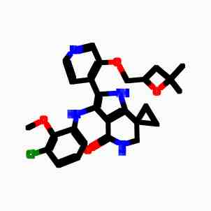 COc1c(Cl)cccc1Nc1c(-c2ccncc2OCC2CC(C)(C)O2)[nH]c2c1C(=O)NCC21CC1